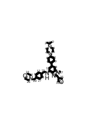 CC(C)N1CCN(c2ccc(-c3cc(NCc4ccc(CN5CCOCC5)cc4)c4nc(C5COC5)n(C)c4c3)cc2)CC1